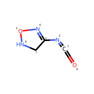 O=C=NC1=NONC1